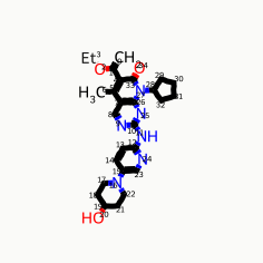 C=C(OCC)c1c(C)c2cnc(Nc3ccc(N4CCC(O)CC4)cn3)nc2n(C2CCCC2)c1=O